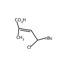 CCCCC(Cl)C=C(C)C(=O)O